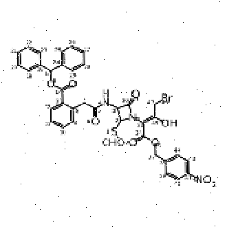 O=CSC1C(NC(=O)Cc2ccccc2C(=O)OC(c2ccccc2)c2ccccc2)C(=O)N1/C(C(=O)OCc1ccc([N+](=O)[O-])cc1)=C(/O)CBr